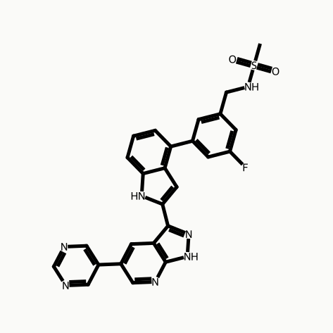 CS(=O)(=O)NCc1cc(F)cc(-c2cccc3[nH]c(-c4n[nH]c5ncc(-c6cncnc6)cc45)cc23)c1